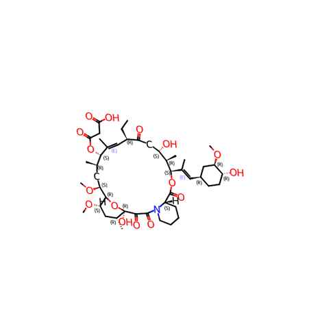 CC[C@@H]1/C=C(\C)[C@@H](OC(=O)CC(=O)O)[C@H](C)C[C@H](OC)[C@H]2O[C@@](O)(C(=O)C(=O)N3CCCC[C@H]3C(=O)O[C@H](/C(C)=C/[C@@H]3CC[C@@H](O)[C@H](OC)C3)[C@H](C)[C@@H](O)CC1=O)[C@H](C)C[C@@H]2OC